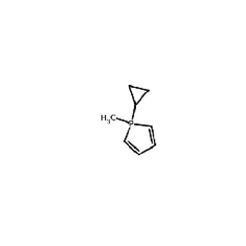 C[P]1(C2CC2)C=CC=C1